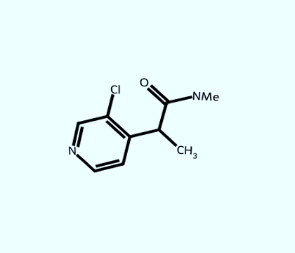 CNC(=O)C(C)c1ccncc1Cl